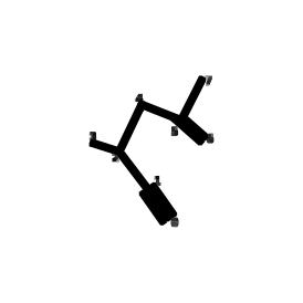 C#CC(C)[CH]C(=C)C